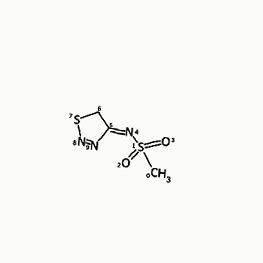 CS(=O)(=O)N=C1CSN=N1